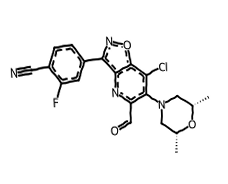 C[C@@H]1CN(c2c(C=O)nc3c(-c4ccc(C#N)c(F)c4)noc3c2Cl)C[C@H](C)O1